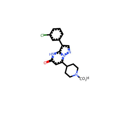 O=C(O)N1CCC(c2cc(=O)[nH]c3c(-c4cccc(Cl)c4)cnn23)CC1